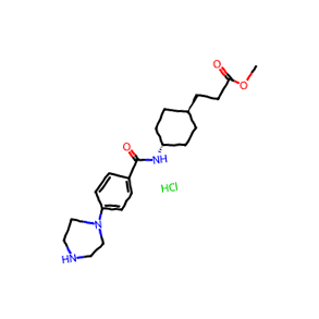 COC(=O)CC[C@H]1CC[C@H](NC(=O)c2ccc(N3CCNCC3)cc2)CC1.Cl